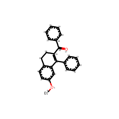 CCOc1ccc2c(c1)C(c1ccccc1)=C(C(=O)c1ccccc1)CC2